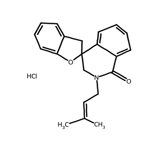 CC(C)=CCN1CC2(Cc3ccccc3O2)c2ccccc2C1=O.Cl